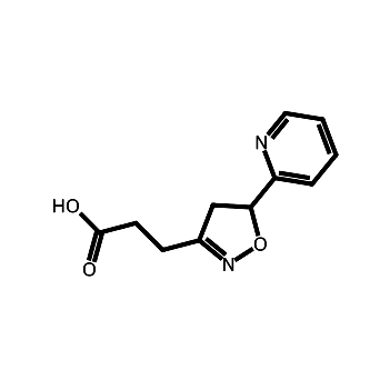 O=C(O)CCC1=NOC(c2ccccn2)C1